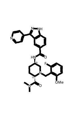 COc1cccc(F)c1CN1C[C@H](NC(=O)c2ccc3[nH]nc(-c4ccncc4)c3c2)CC[C@H]1C(=O)N(C)C